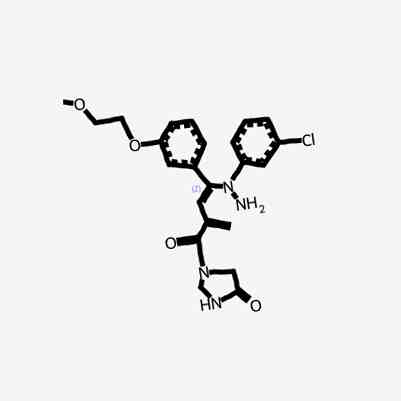 C=C(/C=C(/c1cccc(OCCOC)c1)N(N)c1cccc(Cl)c1)C(=O)N1CNC(=O)C1